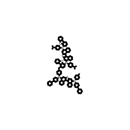 Cc1ccc(N(c2ccc(-c3ccccc3)cc2)c2cc3sc4cc(N(c5ccc(Cc6ccc(N(c7ccc(C(C)C)cc7)c7cc8sc9cc(N(c%10ccc(C(C)C)cc%10)c%10cccc%11c%10oc%10ccccc%10%11)c%10ccccc%10c9c8c8ccccc78)c7oc8ccccc8c67)cc5)c5ccc(-c6ccccc6)cc5)c5ccccc5c4c3c3ccccc23)cc1